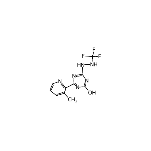 Cc1cccnc1-c1nc(O)nc(NNC(F)(F)F)n1